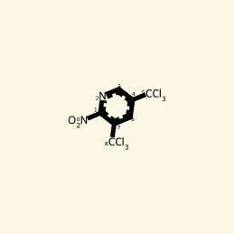 O=[N+]([O-])c1ncc(C(Cl)(Cl)Cl)cc1C(Cl)(Cl)Cl